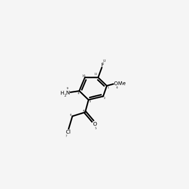 COc1cc(C(=O)CCl)c(N)cc1F